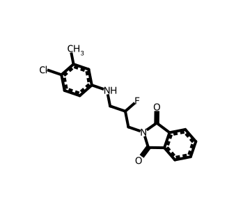 Cc1cc(NCC(F)CN2C(=O)c3ccccc3C2=O)ccc1Cl